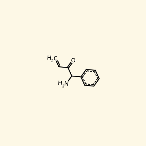 C=CC(=O)C(N)c1ccccc1